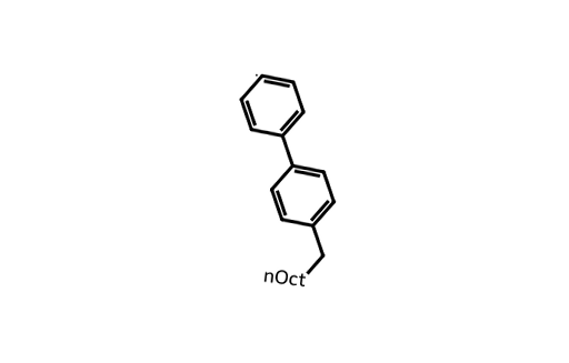 CCCCCCCCCc1ccc(-c2cc[c]cc2)cc1